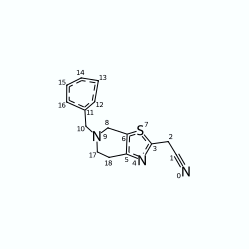 N#CCc1nc2c(s1)CN(Cc1ccccc1)CC2